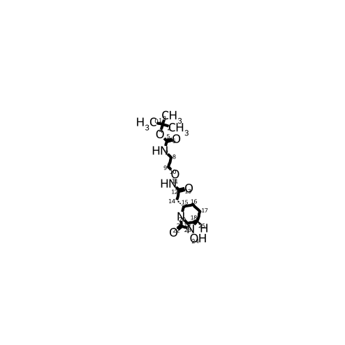 CC(C)(C)OC(=O)NCCONC(=O)C[C@@H]1CC[C@H]2CN1C(=O)N2O